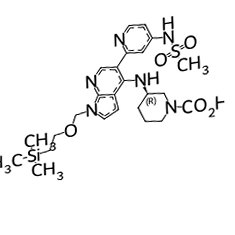 C[Si](C)(C)CCOCn1ccc2c(N[C@@H]3CCCN(C(=O)O)C3)c(-c3cc(NS(C)(=O)=O)ccn3)cnc21